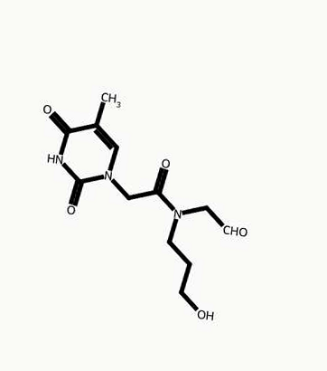 Cc1cn(CC(=O)N(CC=O)CCCO)c(=O)[nH]c1=O